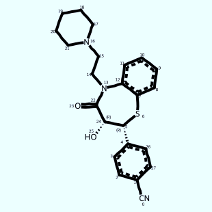 N#Cc1ccc([C@H]2Sc3ccccc3N(CCN3CCCCC3)C(=O)[C@H]2O)cc1